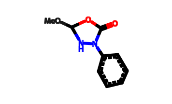 COC1NN(c2ccccc2)C(=O)O1